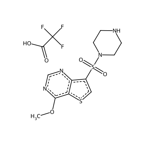 COc1ncnc2c(S(=O)(=O)N3CCNCC3)csc12.O=C(O)C(F)(F)F